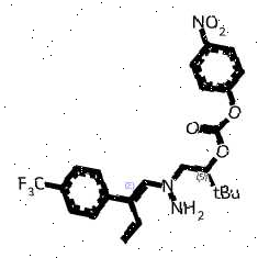 C=C/C(=C\N(N)C[C@@H](OC(=O)Oc1ccc([N+](=O)[O-])cc1)C(C)(C)C)c1ccc(C(F)(F)F)cc1